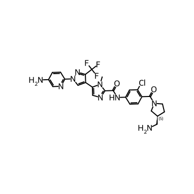 Cn1c(-c2cn(-c3ccc(N)cn3)nc2C(F)(F)F)cnc1C(=O)Nc1ccc(C(=O)N2CC[C@@H](CN)C2)c(Cl)c1